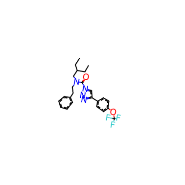 CCC(CC)CN(CCc1ccccc1)C(=O)n1cc(-c2ccc(OC(F)(F)F)cc2)nn1